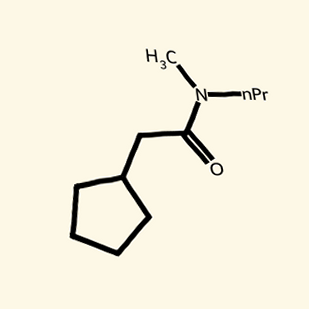 CCCN(C)C(=O)CC1CCCC1